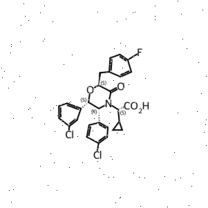 O=C(O)[C@H](C1CC1)N1C(=O)[C@H](Cc2ccc(F)cc2)O[C@@H](c2cccc(Cl)c2)[C@H]1c1ccc(Cl)cc1